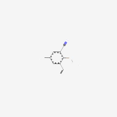 C=Cc1cc(C)cc(C#N)c1SC